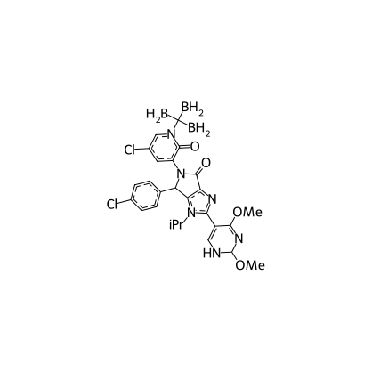 BC(B)(B)n1cc(Cl)cc(N2C(=O)c3nc(C4=CNC(OC)N=C4OC)n(C(C)C)c3C2c2ccc(Cl)cc2)c1=O